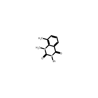 Cc1cccc2c(=O)n(C(C)C)c(=O)n(C)c12